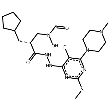 CSc1nc(NNC(=O)[C@H](CC2CCCC2)CN(O)C=O)c(F)c(N2CCN(C)CC2)n1